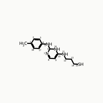 Cc1ccc(NC2N=CC=C(NCCCS)N2)cc1